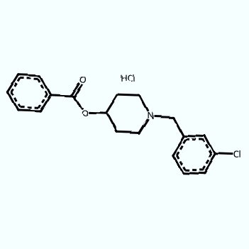 Cl.O=C(OC1CCN(Cc2cccc(Cl)c2)CC1)c1ccccc1